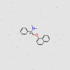 CN(C)[C@@H](COc1cccc2ccccc12)c1ccccc1